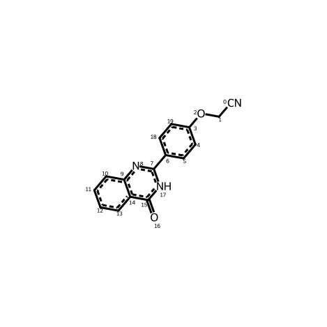 N#CCOc1ccc(-c2nc3ccccc3c(=O)[nH]2)cc1